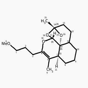 COCCCC1=C(C)[C@@H]2CCCC3CC[C@@]4(C)O[C@@H](O1)[C@@]32O4